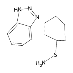 NSC1CCCCC1.c1ccc2[nH]nnc2c1